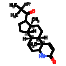 CCCC(C)(C)C(=O)C1CC[C@H]2[C@@H]3CCC4NC(=O)C=C[C@]4(C)[C@@H]3CC[C@]12C